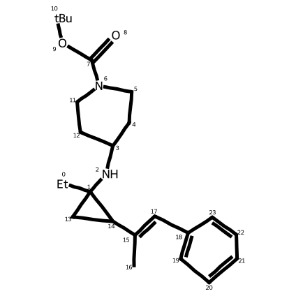 CCC1(NC2CCN(C(=O)OC(C)(C)C)CC2)CC1C(C)=Cc1ccccc1